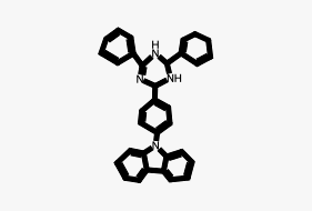 C1=CC(C2NC(c3ccccc3)=NC(c3ccc(-n4c5ccccc5c5ccccc54)cc3)N2)=CCC1